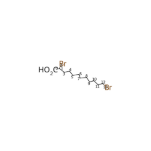 O=C(O)C(Br)CCCCCCCCCCBr